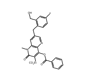 CCOC(=O)c1c(OC(=O)c2ccccc2)c2ncc(Cc3ccc(F)cc3CO)cc2n(C)c1=O